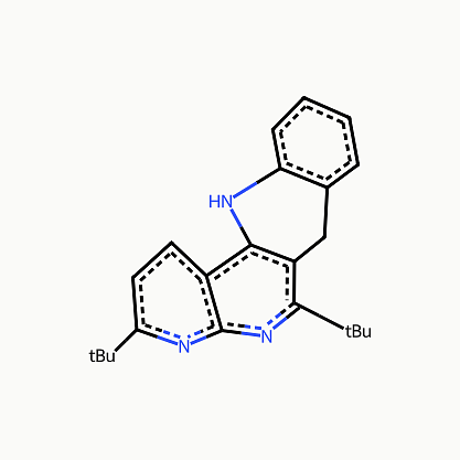 CC(C)(C)c1ccc2c3c(c(C(C)(C)C)nc2n1)Cc1ccccc1N3